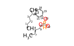 CCCCCC.CCCCO[PH](=O)Oc1ccccc1